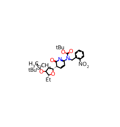 CC[C@H]1O[C@@H](C2C=CC(N(Cc3ccccc3[N+](=O)[O-])C(=O)OC(C)(C)C)=NC2=O)CC1O[Si](C)(C)C(C)(C)C